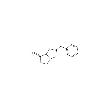 C=C1CCC2CN(Cc3ccccc3)CC12